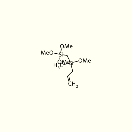 C=CC[Si](C)(C[Si](OC)(OC)OC)OC